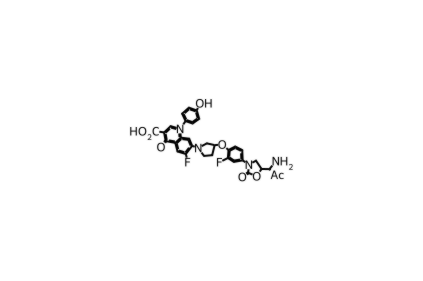 CC(=O)C(N)C1CN(c2ccc(OC3CCN(c4cc5c(cc4F)c(=O)c(C(=O)O)cn5-c4ccc(O)cc4)C3)c(F)c2)C(=O)O1